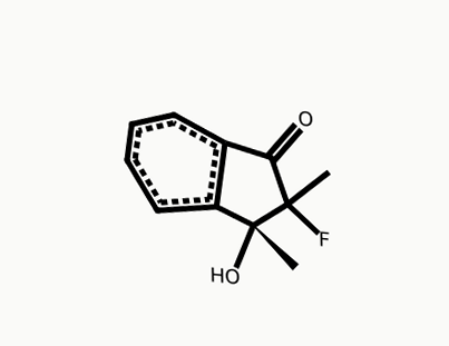 CC1(F)C(=O)c2ccccc2[C@@]1(C)O